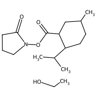 CC1CCC(C(C)C)C(C(=O)ON2CCCC2=O)C1.CCO